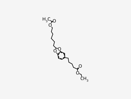 CCOC(=O)CCCCc1ccc2c(c1)OC(CCCCCCOC(C)=O)O2